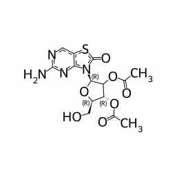 CC(=O)OC1[C@H](n2c(=O)sc3cnc(N)nc32)O[C@H](CO)[C@H]1OC(C)=O